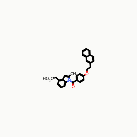 Cc1cc2c(CC(=O)O)cccc2n1C(=O)c1ccc(OCCc2ccc3ccccc3c2)cc1